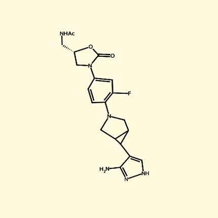 CC(=O)NC[C@H]1CN(c2ccc(N3CC4C(C3)C4c3c[nH]nc3N)c(F)c2)C(=O)O1